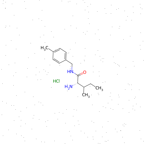 CCC(C)[C@H](N)C(=O)NCc1ccc(C)cc1.Cl